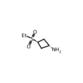 CCS(=O)(=O)[C@H]1C[C@H](N)C1